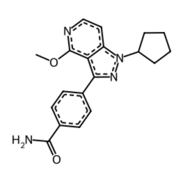 COc1nccc2c1c(-c1ccc(C(N)=O)cc1)nn2C1CCCC1